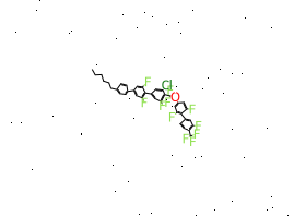 CCCCCCc1ccc(-c2cc(F)c(-c3cc(F)c(C(F)(F)Oc4cc(F)c(-c5ccc(C(F)(F)F)c(F)c5)c(F)c4)c(Cl)c3)c(F)c2)cc1